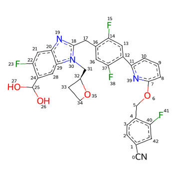 N#Cc1ccc(COc2cccc(-c3cc(F)c(Cc4nc5cc(F)c(C(O)O)cc5n4C[C@@H]4CCO4)cc3F)n2)c(F)c1